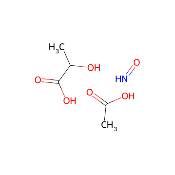 CC(=O)O.CC(O)C(=O)O.N=O